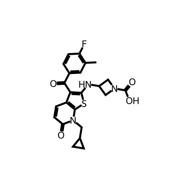 Cc1cc(C(=O)c2c(NC3CN(C(=O)O)C3)sc3c2ccc(=O)n3CC2CC2)ccc1F